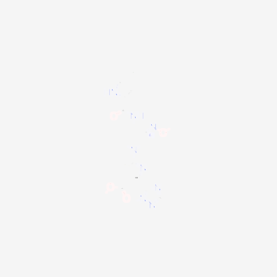 CO/N=C1\CN(c2nc(-c3ncnn3C)c(C(=O)OC)s2)CCC1NC(=O)c1[nH]c(C)c(Cl)c1Cl